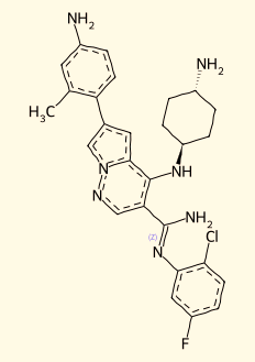 Cc1cc(N)ccc1-c1cc2c(N[C@H]3CC[C@H](N)CC3)c(/C(N)=N/c3cc(F)ccc3Cl)cnn2c1